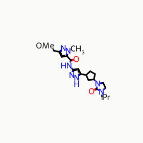 COCc1cc(C(=O)Nc2cc(C3CCC(N4CCN(C(C)C)C4=O)C3)[nH]n2)n(C)n1